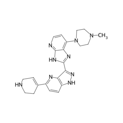 CN1CCN(c2ccnc3[nH]c(-c4n[nH]c5ccc(C6=CCNCC6)nc45)nc23)CC1